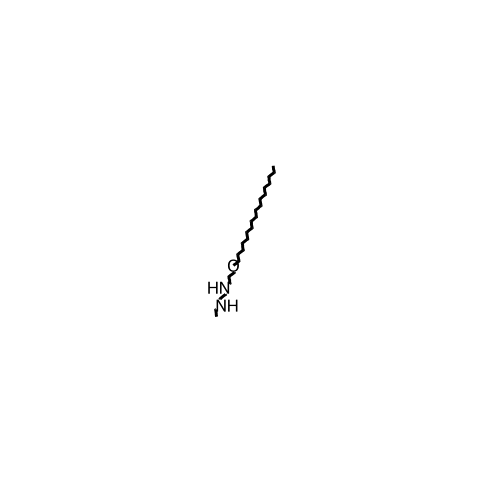 CCCCCCCCCCCCCCCCCCOCCCNCCNCC